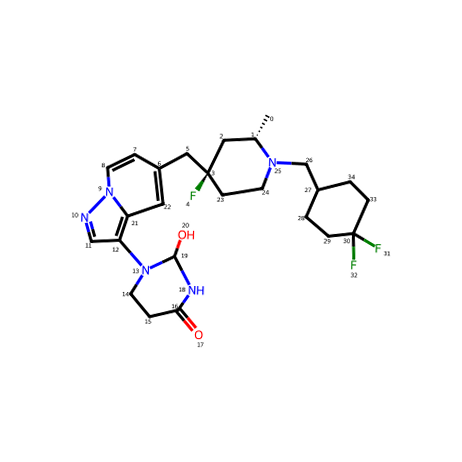 C[C@H]1C[C@@](F)(Cc2ccn3ncc(N4CCC(=O)NC4O)c3c2)CCN1CC1CCC(F)(F)CC1